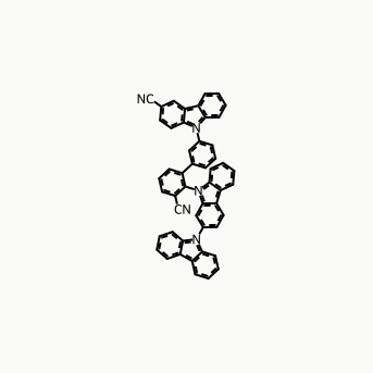 N#Cc1ccc2c(c1)c1ccccc1n2-c1cccc(-c2cccc(C#N)c2-n2c3ccccc3c3ccc(-n4c5ccccc5c5ccccc54)cc32)c1